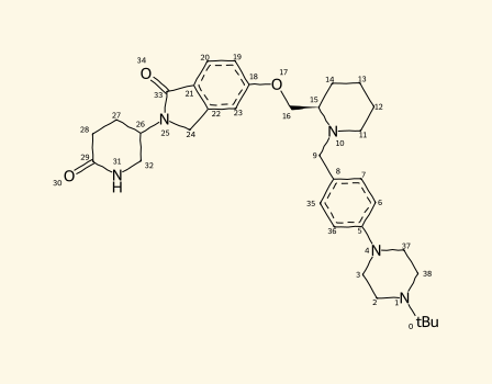 CC(C)(C)N1CCN(c2ccc(CN3CCCC[C@@H]3COc3ccc4c(c3)CN(C3CCC(=O)NC3)C4=O)cc2)CC1